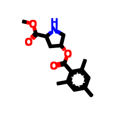 COC(=O)C1CC(OC(=O)c2c(C)cc(C)cc2C)CN1